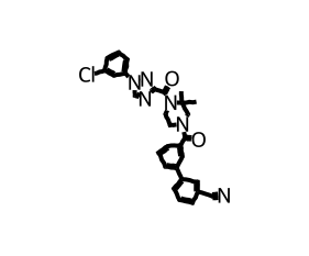 CC1(C)CN(C(=O)c2cccc(-c3cccc(C#N)c3)c2)CCN1C(=O)c1ncn(-c2cccc(Cl)c2)n1